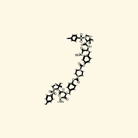 Cc1ccc(S(=O)(=O)N2CSC(C)(C)[C@H]2C(=O)N[C@@H](Cc2ccc(OC(=O)N3CCN(C(=O)Oc4ccc(C[C@H](NC(=O)[C@H]5N(S(=O)(=O)c6ccc(C)cc6)CSC5(C)C)C(=O)OC(C)(C)C)cc4)CC3)cc2)C(=O)OC(C)(C)C)cc1